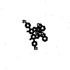 CCc1ccc(-c2c(C)ccc3c2C=C(c2occ4ccccc24)[CH]3[Zr]([Cl])([Cl])([CH]2C(c3occ4ccccc34)=Cc3c2ccc(C)c3-c2ccc(CC)cc2)=[Si](C)C)cc1